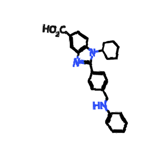 O=C(O)c1ccc2c(c1)nc(-c1ccc(CNc3ccccc3)cc1)n2C1CCCCC1